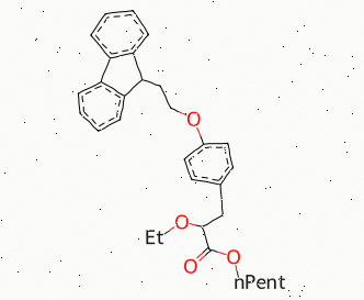 CCCCCOC(=O)C(Cc1ccc(OCCC2c3ccccc3-c3ccccc32)cc1)OCC